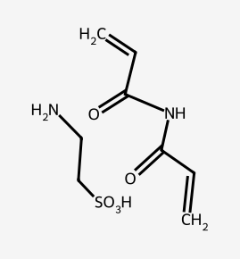 C=CC(=O)NC(=O)C=C.NCCS(=O)(=O)O